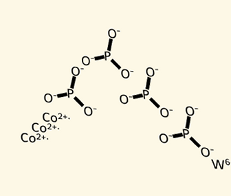 [Co+2].[Co+2].[Co+2].[O-]P([O-])[O-].[O-]P([O-])[O-].[O-]P([O-])[O-].[O-]P([O-])[O-].[W+6]